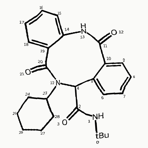 CC(C)(C)NC(=O)C1c2ccccc2C(=O)Nc2ccccc2C(=O)N1C1CCCCC1